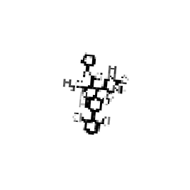 CC1=C(C(=O)OC2CCCC2)C(c2c[nH]c(=O)[nH]c2=O)C2=C(CC(c3c(Cl)cccc3Cl)CC2=O)N1